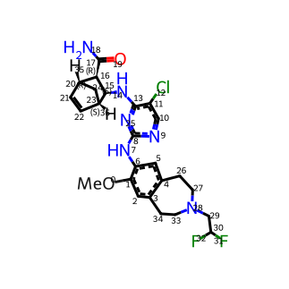 COc1cc2c(cc1Nc1ncc(Cl)c(N[C@@H]3[C@H](C(N)=O)[C@H]4C=C[C@@H]3C4)n1)CCN(CC(F)F)CC2